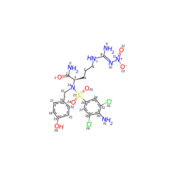 NC(=O)[C@@H](CCCNC(N)=N[N+](=O)[O-])N(Cc1ccc(O)cc1)S(=O)(=O)c1cc(Cl)c(N)c(Cl)c1